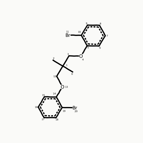 CC(C)(COc1ccccc1Br)COc1ccccc1Br